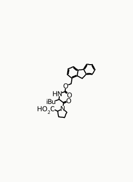 CCC(C)C(NC(=O)OCc1cccc2c1Cc1ccccc1-2)C(=O)N1CCCC1C(=O)O